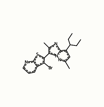 CCC(CC)c1cc(C)nn2c(-c3sc4ncccc4c3Br)c(C)nc12